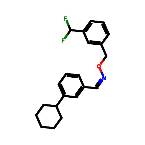 FC(F)c1cccc(CO/N=[C]\c2cccc(C3CCCCC3)c2)c1